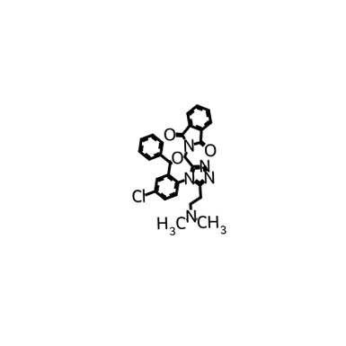 CN(C)CCc1nnc(CN2C(=O)c3ccccc3C2=O)n1-c1ccc(Cl)cc1C(=O)c1ccccc1